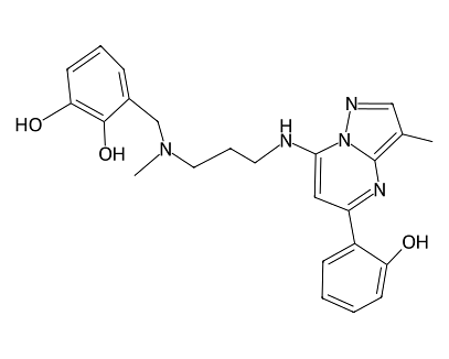 Cc1cnn2c(NCCCN(C)Cc3cccc(O)c3O)cc(-c3ccccc3O)nc12